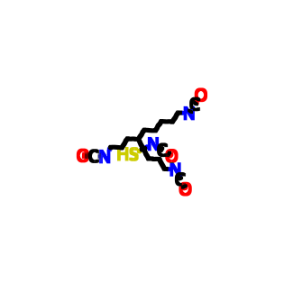 O=C=NCCCCCC(CCCN=C=O)C(S)(CCCN=C=O)N=C=O